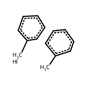 Cc1ccccc1.Cc1ccccc1.I